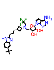 CC(C)(C)c1ccc2[nH]c(CCC[C@H]3C[C@@H](N(C[C@H]4O[C@@H](n5ccc6c(N)ncnc65)[C@H](O)[C@@H]4O)CC(F)(F)F)C3)nc2c1